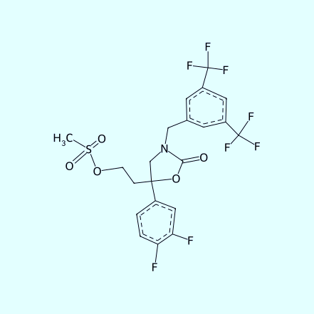 CS(=O)(=O)OCCC1(c2ccc(F)c(F)c2)CN(Cc2cc(C(F)(F)F)cc(C(F)(F)F)c2)C(=O)O1